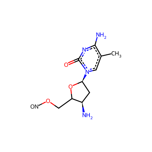 Cc1cn([C@H]2C[C@@H](N)C(CON=O)O2)c(=O)nc1N